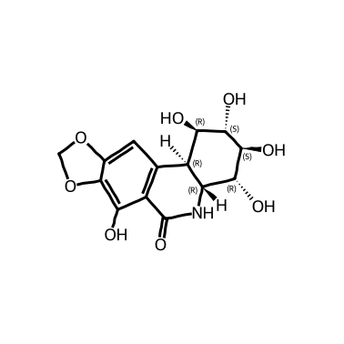 O=C1N[C@H]2[C@@H](O)[C@H](O)[C@@H](O)[C@H](O)[C@@H]2c2cc3c(c(O)c21)OCO3